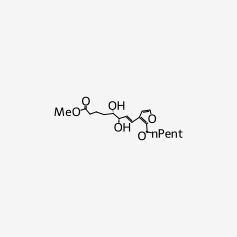 CCCCCC(=O)c1occc1/C=C/[C@@H](O)[C@@H](O)CCCC(=O)OC